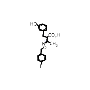 C/C(=N\OCc1ccc(F)cc1)C(Cc1cccc(O)c1)C(=O)O